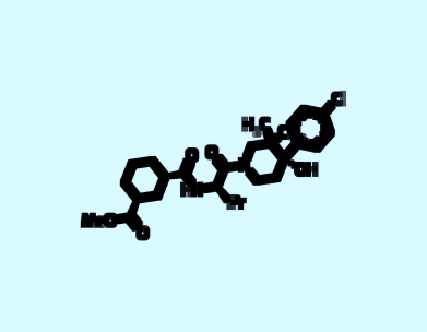 COC(=O)[C@H]1CCC[C@@H](C(=O)N[C@@H](C(=O)N2CC[C@](O)(c3ccc(Cl)cc3)C(C)(C)C2)C(C)C)C1